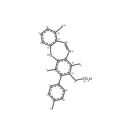 Cc1ccc(-c2c(C)c3c(c(C)c2CC(=O)O)N=Cc2c(F)cccc2O3)cc1